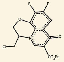 CCOC(=O)c1cn2c3c(c(F)c(F)cc3c1=O)OCC2CCl